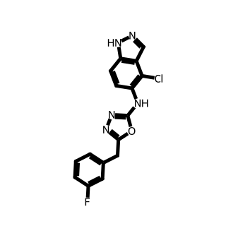 Fc1cccc(Cc2nnc(Nc3ccc4[nH]ncc4c3Cl)o2)c1